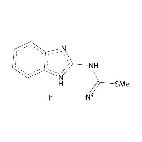 CSC(=[N+])Nc1nc2ccccc2[nH]1.[I-]